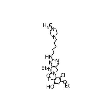 CCOc1cc(O)c(F)c(N2Cc3cnc(NCCCCCN4CCN(C)CC4)nc3N(CC)C2=O)c1Cl